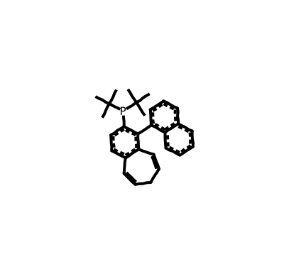 CC(C)(C)P(c1ccc2c(c1-c1cccc3ccccc13)C=CCC=C2)C(C)(C)C